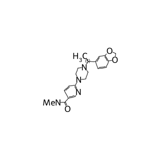 CNC(=O)c1ccc(N2CCN([C@@H](C)c3ccc4c(c3)OCO4)CC2)nc1